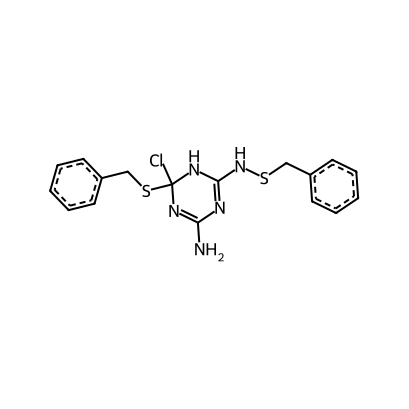 NC1=NC(Cl)(SCc2ccccc2)NC(NSCc2ccccc2)=N1